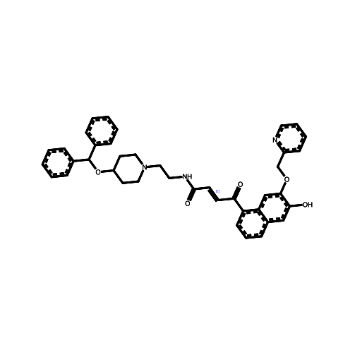 O=C(/C=C/C(=O)c1cccc2cc(O)c(OCc3ccccn3)cc12)NCCN1CCC(OC(c2ccccc2)c2ccccc2)CC1